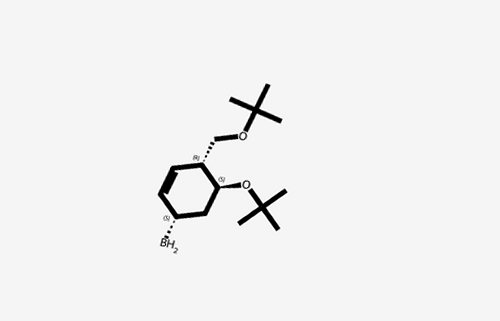 B[C@@H]1C=C[C@H](COC(C)(C)C)[C@@H](OC(C)(C)C)C1